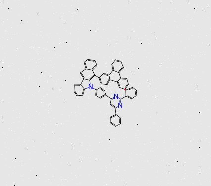 c1ccc(-c2cc(-c3ccc(-n4c5ccccc5c5cc6ccccc6c(-c6ccc7c8ccccc8c8ccccc8c7c6)c54)cc3)nc(-c3ccccc3)n2)cc1